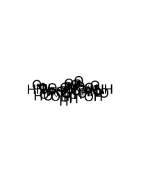 O=c1ccn([C@@H]2O[C@H](CO[PH](=O)O[PH](=O)O[PH](=O)O[PH](=O)OC[C@H]3O[C@@H](n4ccc(=O)[nH]c4=O)C(O)[C@H]3O)[C@H](O)C2O)c(=O)[nH]1